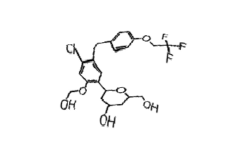 OCOc1cc(Cl)c(Cc2ccc(OCC(F)(F)F)cc2)cc1C1CC(O)CC(CO)O1